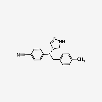 Cc1ccc(CN(c2ccc(C#N)cc2)N2C=NNC2)cc1